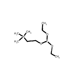 CCOP(OCC)SCC[N+](C)(C)C